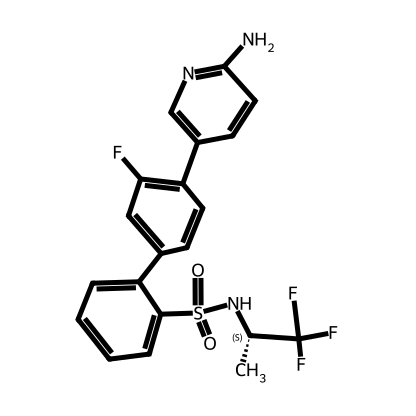 C[C@H](NS(=O)(=O)c1ccccc1-c1ccc(-c2ccc(N)nc2)c(F)c1)C(F)(F)F